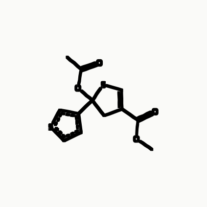 COC(=O)C1=CSC(OC(C)=O)(c2ccsc2)C1